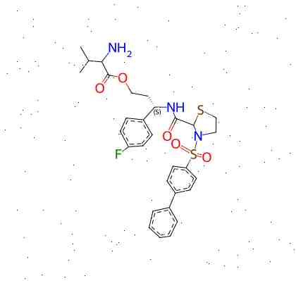 CC(C)C(N)C(=O)OCC[C@H](NC(=O)C1SCCN1S(=O)(=O)c1ccc(-c2ccccc2)cc1)c1ccc(F)cc1